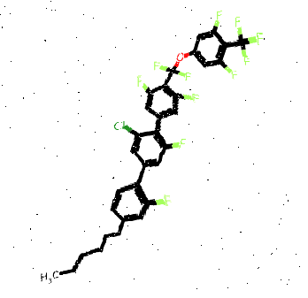 CCCCCCc1ccc(-c2cc(F)c(-c3cc(F)c(C(F)(F)Oc4cc(F)c(C(F)(F)F)c(F)c4)c(F)c3)c(Cl)c2)c(F)c1